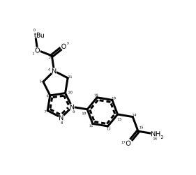 CC(C)(C)OC(=O)N1Cc2cnn(-c3ccc(CC(N)=O)cc3)c2C1